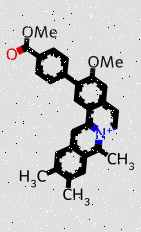 COC(=O)c1ccc(-c2cc3c(cc[n+]4c(C)c5cc(C)c(C)cc5cc34)cc2OC)cc1